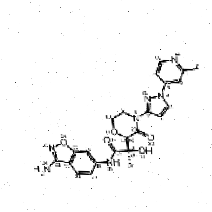 Cc1cc(-n2ccc(N3CCO[C@H]([C@@](C)(O)C(=O)Nc4ccc5c(N)noc5c4)C3=O)n2)ccn1